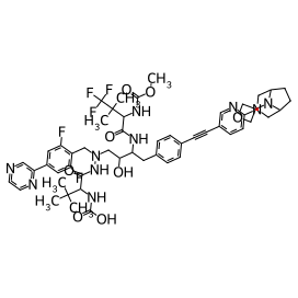 COC(=O)NC(C(=O)NC(Cc1ccc(C#Cc2ccc(N3CC4CCC(C3)N4C3COC3)nc2)cc1)C(O)CN(Cc1c(F)cc(-c2cnccn2)cc1F)NC(=O)C(NC(=O)O)C(C)(C)C)C(C)(C)C(F)(F)F